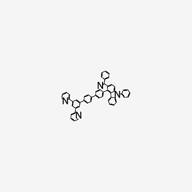 c1ccc(-c2nc3cc(-c4ccc(-c5cc(-c6ccccn6)cc(-c6ccccn6)c5)cc4)ccc3c3c2ccc2c3c3ccccc3n2-c2ccccc2)cc1